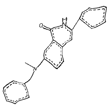 CN(Cc1ccccc1)c1ccc2cc(-c3ccccc3)[nH]c(=O)c2c1